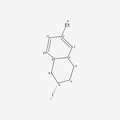 CCC1=CC2CC[C@H](I)CC2C=C1